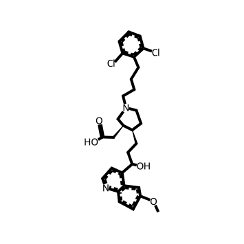 COc1ccc2nccc(C(O)CC[C@@H]3CCN(CCCCc4c(Cl)cccc4Cl)C[C@@H]3CC(=O)O)c2c1